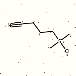 CS(C)(Cl)CCCC#N